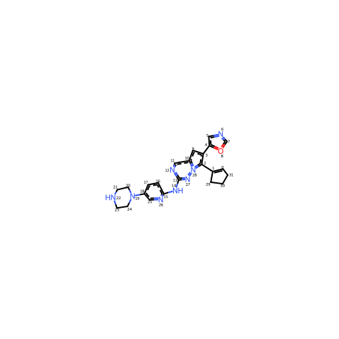 C1=C(c2c(-c3cnco3)cc3cnc(Nc4ccc(N5CCNCC5)cn4)nn23)CCC1